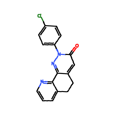 O=c1cc2c(nn1-c1ccc(Cl)cc1)-c1ncccc1CC2